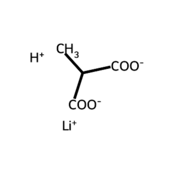 CC(C(=O)[O-])C(=O)[O-].[H+].[Li+]